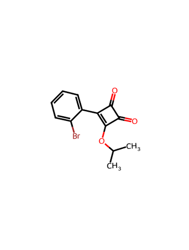 CC(C)Oc1c(-c2ccccc2Br)c(=O)c1=O